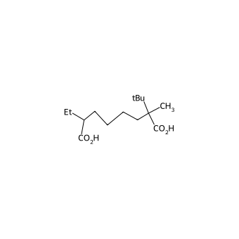 CCC(CCCCC(C)(C(=O)O)C(C)(C)C)C(=O)O